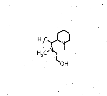 CC(C1CCCCN1)N(C)CCO